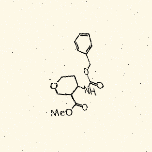 COC(=O)C1COCCC1NC(=O)OCc1ccccc1